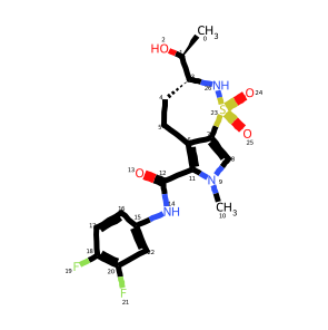 C[C@H](O)[C@H]1CCc2c(cn(C)c2C(=O)Nc2ccc(F)c(F)c2)S(=O)(=O)N1